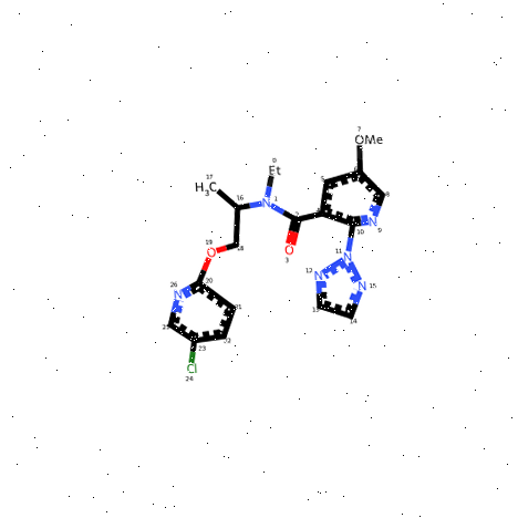 CCN(C(=O)c1cc(OC)cnc1-n1nccn1)C(C)COc1ccc(Cl)cn1